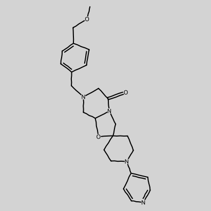 COCc1ccc(CN2CC(=O)N3CC4(CCN(c5ccncc5)CC4)OC3C2)cc1